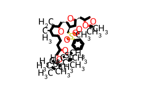 C=C1C(C[C@@H]2O[C@H](CC3COC(C)(C)O3)[C@H](OC)[C@H]2CS(=O)(=O)c2ccccc2)OC(CCC(CO[Si](C)(C)C(C)(C)C)O[Si](C)(C)C(C)(C)C)C[C@H]1C